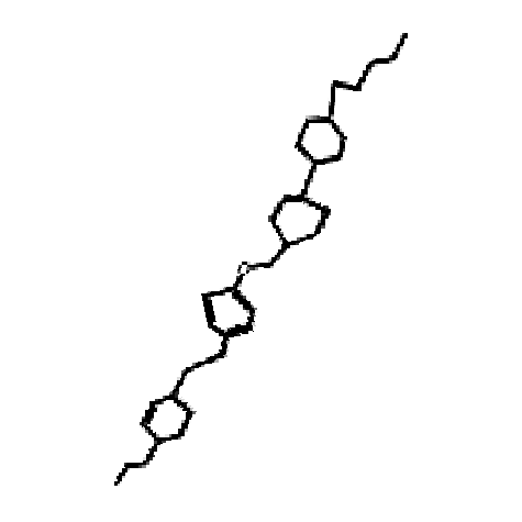 CCCCCC1CCC(C2CCC(COc3ccc(CCC4C=CC(CCC)CC4)cc3)CC2)CC1